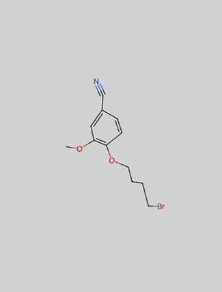 COc1cc(C#N)ccc1OCCCCBr